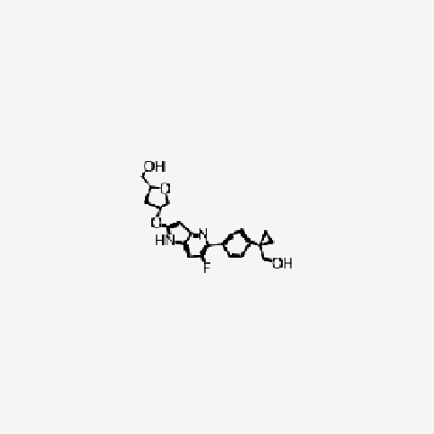 OC[C@@H]1C[C@H](Oc2cc3nc(-c4ccc(C5(CO)CC5)cc4)c(F)cc3[nH]2)CO1